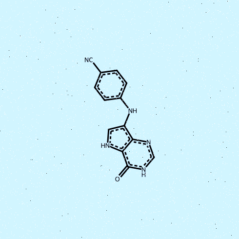 N#Cc1ccc(Nc2c[nH]c3c(=O)[nH]cnc23)cc1